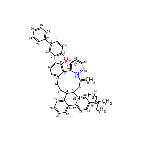 C=C1CC2C(CCc3ccc4c(oc5ccc(-c6ccccc6)cc54)c3-c3c4c(cc[n+]31)CCCC4)c1ccccc1-c1ccc([Si](C)(C)C)c[n+]12